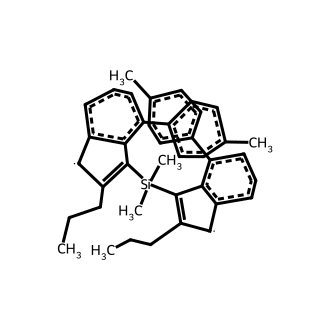 CCCC1=C([Si](C)(C)C2=C(CCC)[CH]c3cccc(-c4ccc(C)cc4)c32)c2c(cccc2-c2ccc(C)cc2)[CH]1